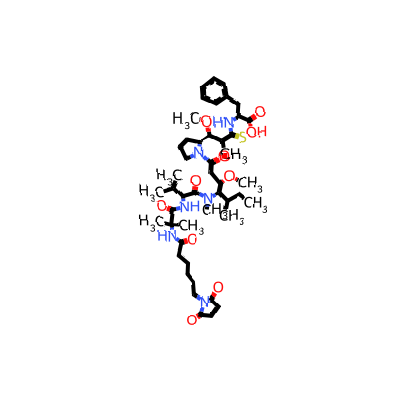 CCC(C)C(C(CC(=O)N1CCC[C@H]1C(OC)C(C)C(=S)NC(Cc1ccccc1)C(=O)O)OC)N(C)C(=O)C(NC(=O)C(C)(C)NC(=O)CCCCCN1C(=O)C=CC1=O)C(C)C